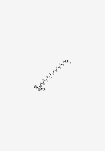 CCCCCCCCCCCCCC/C=C/C1C(=O)OC1=O